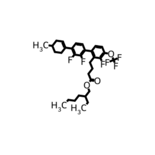 CCCCC(CC)COC(=O)CCCc1c(-c2ccc(C3=CCC(C)CC3)c(F)c2F)ccc(OC(F)(F)F)c1F